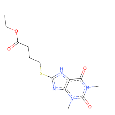 CCOC(=O)CCCSc1nc2c([nH]1)c(=O)n(C)c(=O)n2C